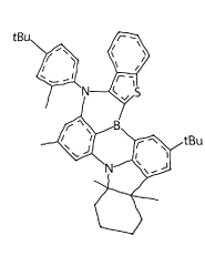 Cc1cc2c3c(c1)N1c4c(cc(C(C)(C)C)cc4C4(C)CCCCC14C)B3c1sc3ccccc3c1N2c1ccc(C(C)(C)C)cc1C